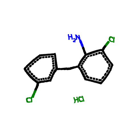 Cl.Nc1c(Cl)cccc1-c1cccc(Cl)c1